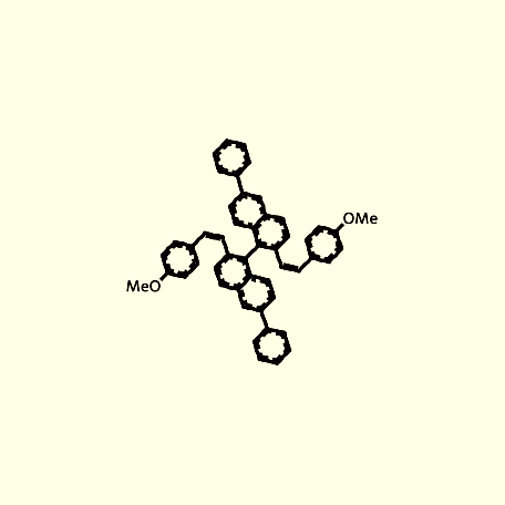 COc1ccc(/C=C\c2ccc3cc(-c4ccccc4)ccc3c2-c2c(/C=C\c3ccc(OC)cc3)ccc3cc(-c4ccccc4)ccc23)cc1